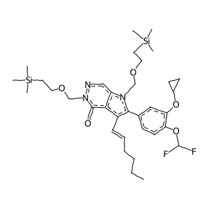 CCCCC=Cc1c(-c2ccc(OC(F)F)c(OC3CC3)c2)n(COCC[Si](C)(C)C)c2cnn(COCC[Si](C)(C)C)c(=O)c12